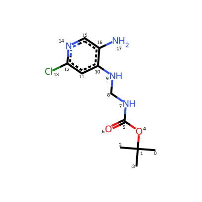 CC(C)(C)OC(=O)NCNc1cc(Cl)ncc1N